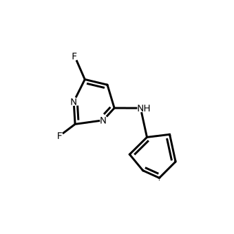 Fc1cc(Nc2cc[c]cc2)nc(F)n1